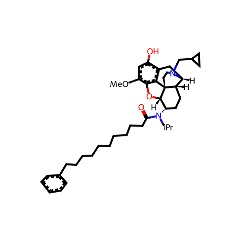 COc1cc(O)c2c3c1O[C@H]1[C@@H](N(C(=O)CCCCCCCCCCc4ccccc4)C(C)C)CC[C@H]4[C@@H](C2)N(CC2CC2)CC[C@@]341